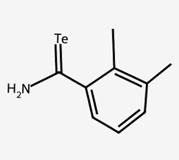 Cc1cccc(C(N)=[Te])c1C